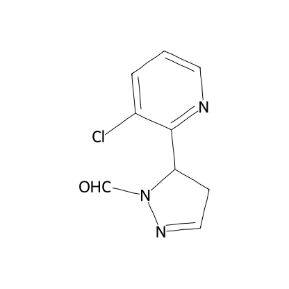 O=CN1N=CCC1c1ncccc1Cl